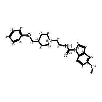 COc1ccc2c(ccn2C(=O)NCCN2CCC(COc3ccccc3)CC2)c1